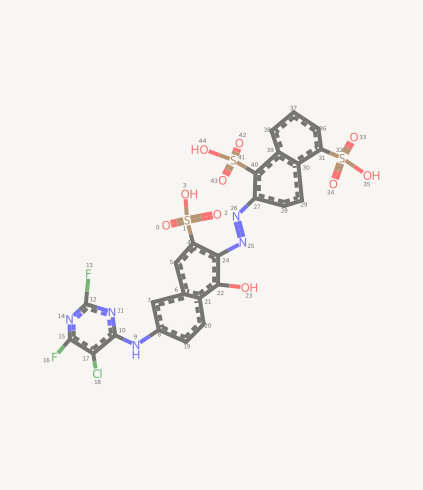 O=S(=O)(O)c1cc2cc(Nc3nc(F)nc(F)c3Cl)ccc2c(O)c1/N=N/c1ccc2c(S(=O)(=O)O)cccc2c1S(=O)(=O)O